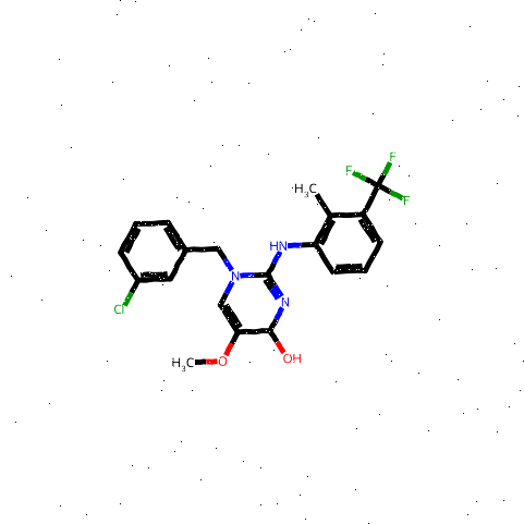 COC1=CN(Cc2cccc(Cl)c2)C(Nc2cccc(C(F)(F)F)c2C)=NC1O